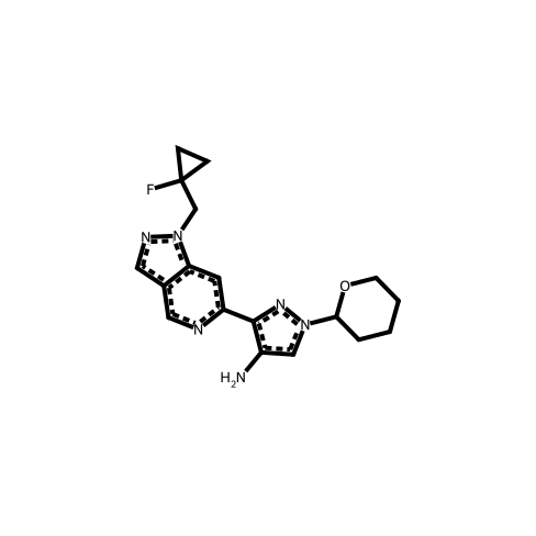 Nc1cn(C2CCCCO2)nc1-c1cc2c(cn1)cnn2CC1(F)CC1